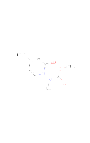 CCN(C(=O)OC(C)(C)C)n1ccc(S(=O)(=O)O)cc1=O